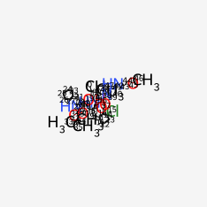 CC[C@H](C)[C@H](NC(=O)[C@@H](Cc1cccc(Cl)c1)C[C@@H](O)[C@H](Cc1ccccc1)NC(=O)OC(C)(C)C)C(=O)N1CCC(NCCOC)CC1